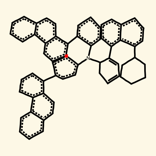 C1=CCC(N(c2ccc(-c3cccc4c3ccc3ccccc34)cc2)c2ccccc2-c2cccc3c2ccc2ccccc23)C(c2cccc3cccc(C4CCCCC4)c23)=C1